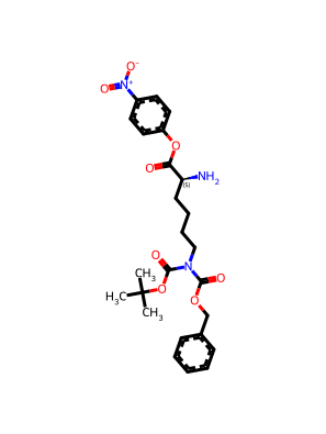 CC(C)(C)OC(=O)N(CCCC[C@H](N)C(=O)Oc1ccc([N+](=O)[O-])cc1)C(=O)OCc1ccccc1